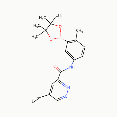 Cc1ccc(NC(=O)c2cc(C3CC3)cnn2)cc1B1OC(C)(C)C(C)(C)O1